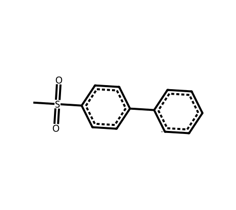 CS(=O)(=O)c1ccc(-c2[c]cccc2)cc1